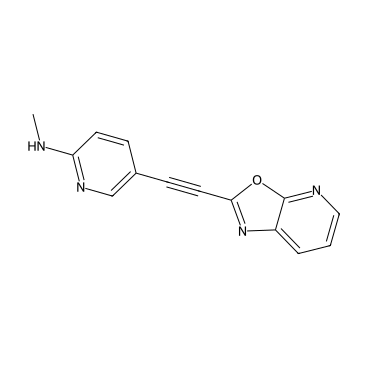 CNc1ccc(C#Cc2nc3cccnc3o2)cn1